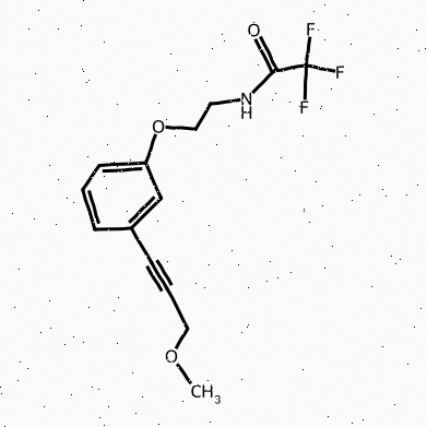 COCC#Cc1cccc(OCCNC(=O)C(F)(F)F)c1